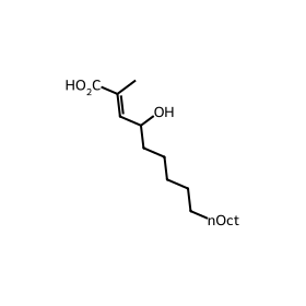 CCCCCCCCCCCCCC(O)C=C(C)C(=O)O